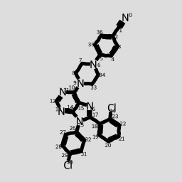 N#Cc1ccc(N2CCN(c3ncnc4c3nc(-c3ccccc3Cl)n4-c3ccc(Cl)cc3)CC2)cc1